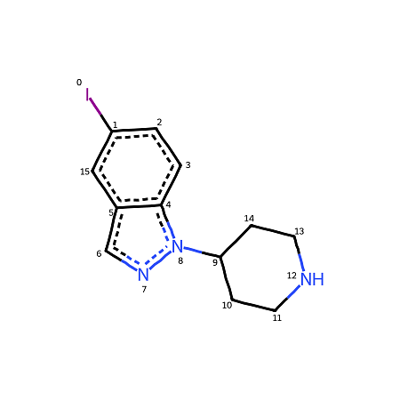 Ic1ccc2c(cnn2C2CCNCC2)c1